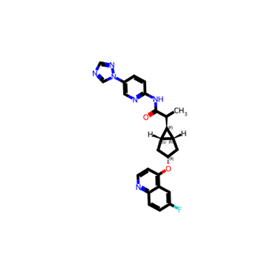 CC(C(=O)Nc1ccc(-n2cncn2)cn1)[C@H]1[C@@H]2C[C@H](Oc3ccnc4ccc(F)cc34)C[C@@H]21